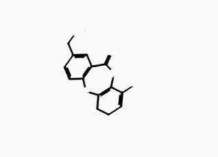 O=C1OC2=C(CCC=C2F)Sc2ccc(CO)cc21